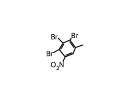 Cc1cc([N+](=O)[O-])c(Br)c(Br)c1Br